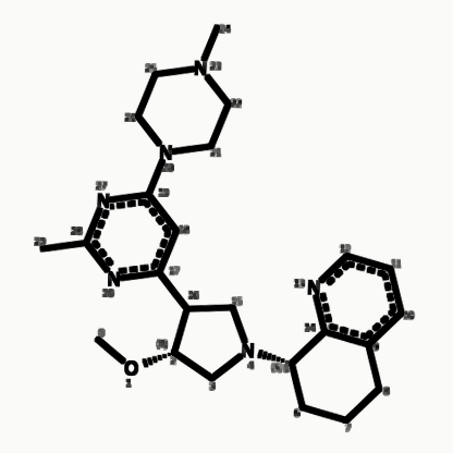 CO[C@H]1CN([C@H]2CCCc3cccnc32)CC1c1cc(N2CCN(C)CC2)nc(C)n1